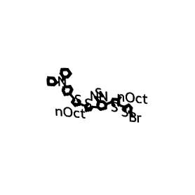 CCCCCCCCc1cc(-c2ccc(-c3cc(CCCCCCCC)c(-c4ccc(-c5ccc(N(c6ccccc6)c6ccccc6)cc5)s4)s3)c3nsnc23)sc1-c1ccc(Br)s1